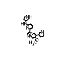 COc1cc2ncc(-c3cccc(NC4CCNC4)n3)n2cc1C1=CCCN=C1